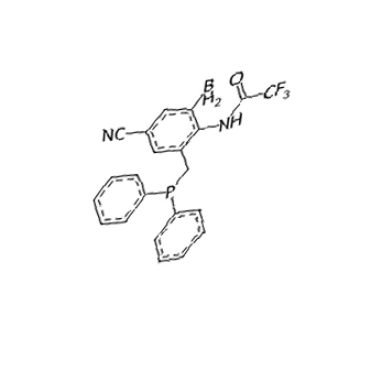 Bc1cc(C#N)cc(CP(c2ccccc2)c2ccccc2)c1NC(=O)C(F)(F)F